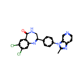 Cc1nc2ccncc2n1-c1ccc(C2=Nc3cc(Cl)c(Cl)cc3C(=O)NC2)cc1